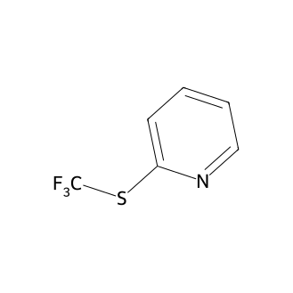 FC(F)(F)Sc1ccccn1